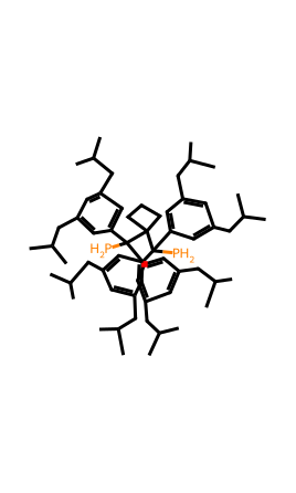 CC(C)Cc1cc(CC(C)C)cc(C(P)(c2cc(CC(C)C)cc(CC(C)C)c2)C2(C(P)(c3cc(CC(C)C)cc(CC(C)C)c3)c3cc(CC(C)C)cc(CC(C)C)c3)CCC2)c1